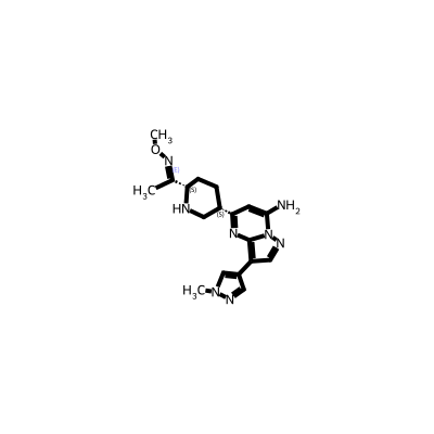 CO/N=C(\C)[C@@H]1CC[C@H](c2cc(N)n3ncc(-c4cnn(C)c4)c3n2)CN1